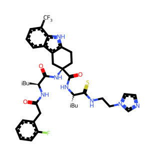 CCC(C)[C@H](NC(=O)Cc1ccccc1F)C(=O)N[C@]1(C(=O)NC(C(=S)NCCn2ccnc2)[C@@H](C)CC)CCc2[nH]c3c(C(F)(F)F)cccc3c2C1